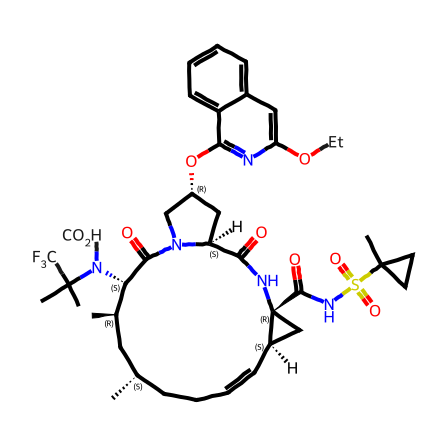 CCOc1cc2ccccc2c(O[C@@H]2C[C@H]3C(=O)N[C@]4(C(=O)NS(=O)(=O)C5(C)CC5)C[C@H]4C=CCC[C@H](C)C[C@@H](C)[C@H](N(C(=O)O)C(C)(C)C(F)(F)F)C(=O)N3C2)n1